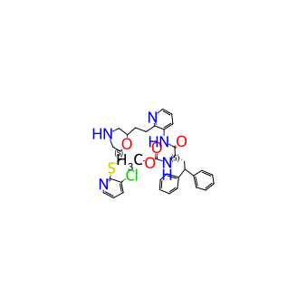 COC(=O)N[C@@H](CC(c1ccccc1)c1ccccc1)C(=O)Nc1cccnc1CCC1CNC[C@@H](CSc2ncccc2Cl)O1